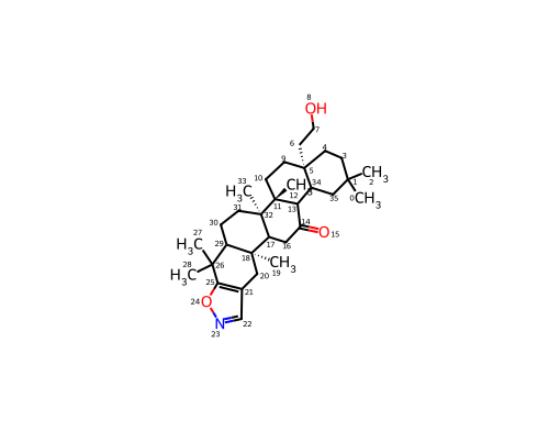 CC1(C)CC[C@]2(CCO)CC[C@]3(C)C(C(=O)CC4[C@@]5(C)Cc6cnoc6C(C)(C)C5CC[C@]43C)C2C1